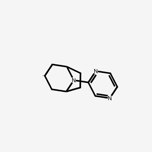 [CH]1CC2CCC(C1)N2c1cnccn1